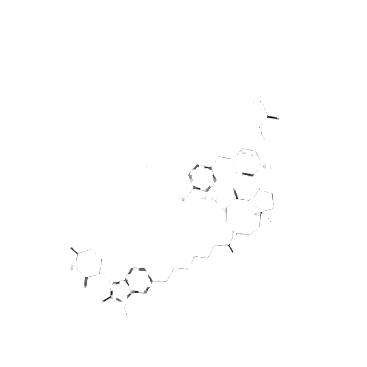 C[C@@H](OCc1ccc(Br)cc1)[C@H](CCC(N)=O)NC(=O)[C@@H]1CC[C@@H]2CCN(C(=O)CCCCCCc3ccc4c(c3)n(C)c(=O)n4C3CCC(=O)NC3=O)C[C@H](N)C(=O)N21.Cl